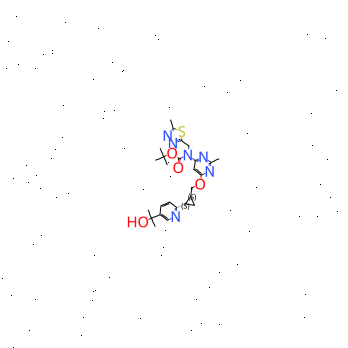 Cc1nc(OC[C@H]2C[C@@H]2c2ccc(C(C)(C)O)cn2)cc(N(Cc2nnc(C)s2)C(=O)OC(C)(C)C)n1